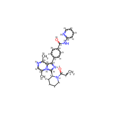 C=CC(=O)N1CCCC[C@H]1c1nc(-c2ccc(C(=O)Nc3ccccn3)cc2)c2c(C)ncc(C)n12